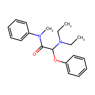 CCN(CC)C(Oc1ccccc1)C(=O)N(C)c1ccccc1